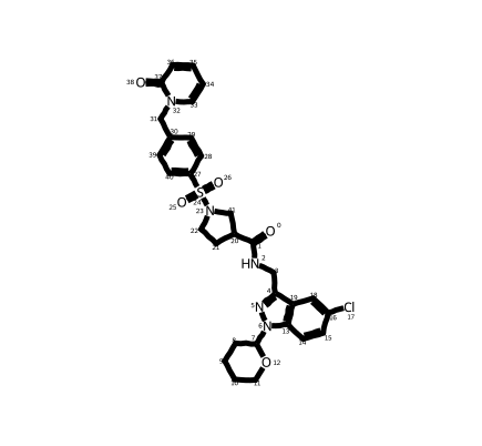 O=C(NCc1nn(C2CCCCO2)c2ccc(Cl)cc12)C1CCN(S(=O)(=O)c2ccc(Cn3ccccc3=O)cc2)C1